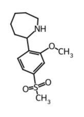 COc1cc(S(C)(=O)=O)ccc1C1CCCCCN1